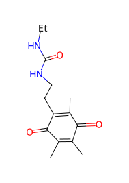 CCNC(=O)NCCC1=C(C)C(=O)C(C)=C(C)C1=O